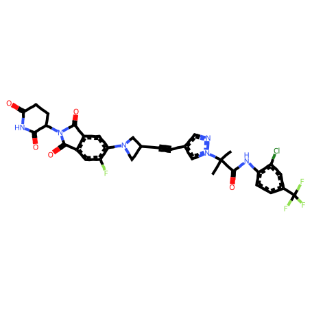 CC(C)(C(=O)Nc1ccc(C(F)(F)F)cc1Cl)n1cc(C#CC2CN(c3cc4c(cc3F)C(=O)N(C3CCC(=O)NC3=O)C4=O)C2)cn1